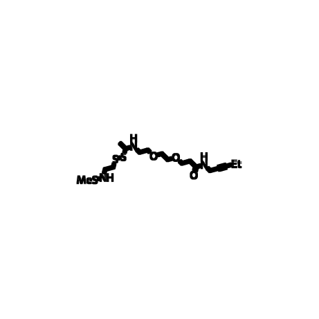 CCC#CCNC(=O)CCOCCOCCNC(C)SSCCNSC